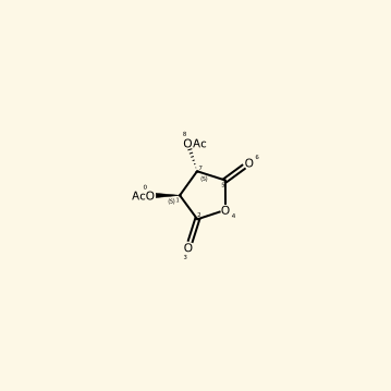 CC(=O)O[C@@H]1C(=O)OC(=O)[C@H]1OC(C)=O